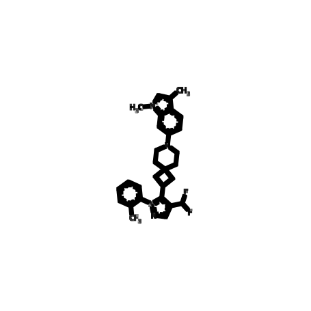 Cc1cn(C)c2cc(N3CCC4(CC3)CC(c3c(C(F)F)cnn3-c3ccccc3C(F)(F)F)C4)ccc12